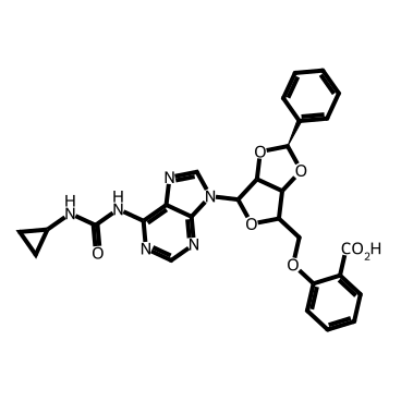 O=C(Nc1ncnc2c1ncn2C1OC(COc2ccccc2C(=O)O)C2O[C@H](c3ccccc3)OC21)NC1CC1